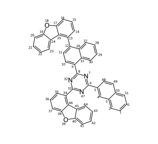 c1ccc2cc(-c3nc(-c4ccc(-c5cccc6oc7ccccc7c56)c5ccccc45)nc(-c4cccc5oc6ccccc6c45)n3)ccc2c1